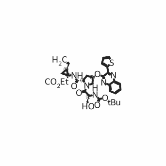 C=C[C@@H]1C[C@]1(NC(=O)[C@@H]1C[C@@H](Oc2nc3ccccc3nc2-c2cccs2)CN1C(=O)[C@H](CO)NC(=O)OC(C)(C)C)C(=O)OCC